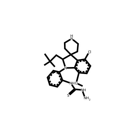 COc1ccc(Cl)c2c1N(c1ccccc1NC(=S)NN)C(CC(C)(C)C)C21CCNCC1